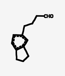 O=CCCCc1ccc2c(c1)CCC2